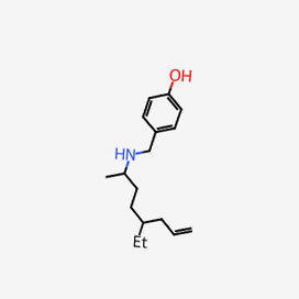 C=CCC(CC)CCC(C)NCc1ccc(O)cc1